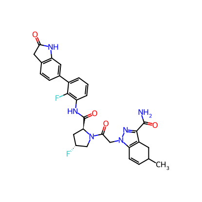 CC1C=Cc2c(c(C(N)=O)nn2CC(=O)N2C[C@H](F)C[C@H]2C(=O)Nc2cccc(-c3ccc4c(c3)NC(=O)C4)c2F)C1